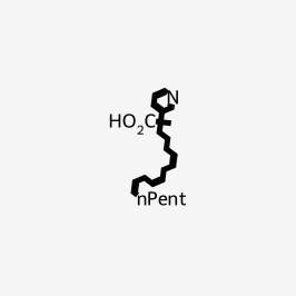 CCCCC/C=C\C/C=C\C/C=C\CCCC(C)(C(=O)O)c1cccnc1